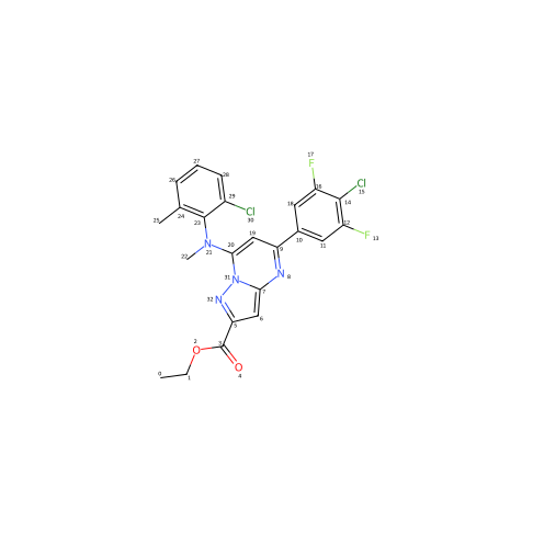 CCOC(=O)c1cc2nc(-c3cc(F)c(Cl)c(F)c3)cc(N(C)c3c(C)cccc3Cl)n2n1